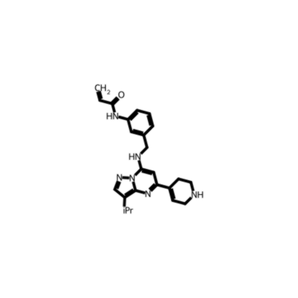 C=CC(=O)Nc1cccc(CNc2cc(C3=CCNCC3)nc3c(C(C)C)cnn23)c1